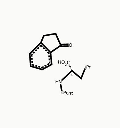 CCCCCN[C@@H](CC(C)C)C(=O)O.O=C1CCc2ccccc21